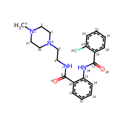 CN1CCN(CCNC(=O)c2ccccc2NC(=O)c2ccccc2F)CC1